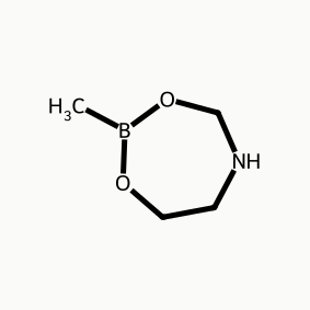 CB1OCCNCO1